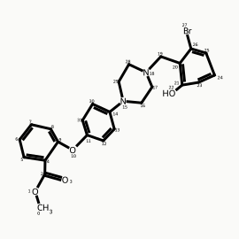 COC(=O)c1ccccc1Oc1ccc(N2CCN(Cc3c(O)cccc3Br)CC2)cc1